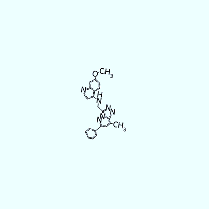 COc1ccc2c(NCc3nnc4c(C)cc(-c5ccccc5)nn34)ccnc2c1